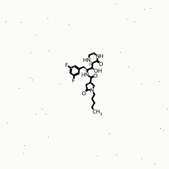 CCCCCN1CC(C(=O)N[C@@H](Cc2cc(F)cc(F)c2)[C@H](O)[C@@H]2NCCNC2=O)CC1=O